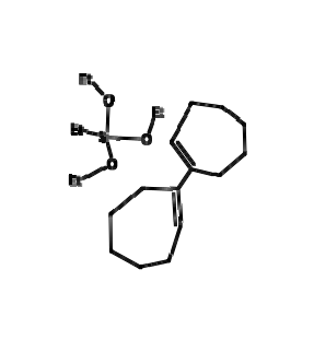 C1=C(C2=CCCCCC2)CCCCC1.CCO[Si](CC)(OCC)OCC